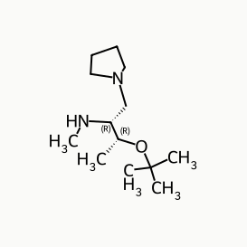 CN[C@H](CN1CCCC1)[C@@H](C)OC(C)(C)C